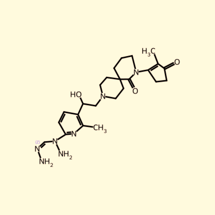 CC1=C(N2CCCC3(CCN(CC(O)c4ccc(N(N)/C=N\N)nc4C)CC3)C2=O)CCC1=O